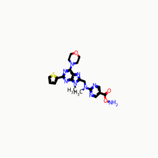 CN(Cc1nc2c(N3CCOCC3)nc(-c3cccs3)nc2n1C)c1ncc(C(=O)ON)cn1